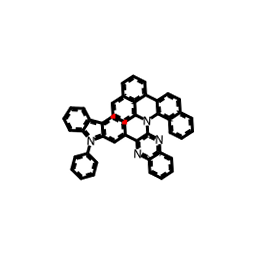 c1ccc(-n2c3ccccc3c3ccc(-c4nc5ccccc5nc4N4c5c(ccc6ccccc56)-c5cccc6cccc4c56)cc32)cc1